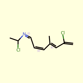 C=C(Cl)/C=C(C)/C=C\C=N/C(C)Cl